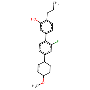 CCCc1ccc(-c2ccc(C3C=CC(OC)CC3)cc2F)cc1O